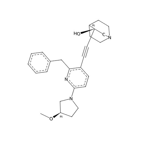 CO[C@@H]1CCN(c2ccc(C#C[C@@]3(O)CN4CCC3CC4)c(Cc3ccccc3)n2)C1